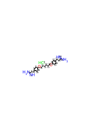 Cl.N=C(N)CCc1ccc(OCCCCCCOc2ccc(CCC(=N)N)cc2)cc1